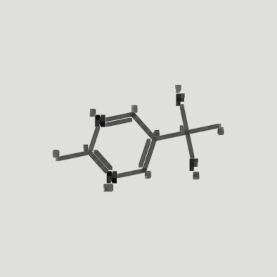 Cc1ncc(C(C)(F)F)cn1